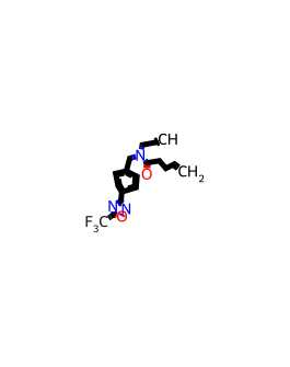 C#CCN(Cc1ccc(-c2noc(C(F)(F)F)n2)cc1)C(=O)CCC=C